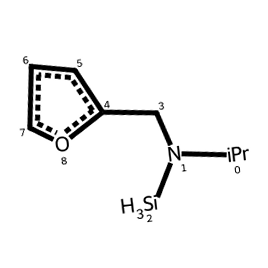 CC(C)N([SiH3])Cc1ccco1